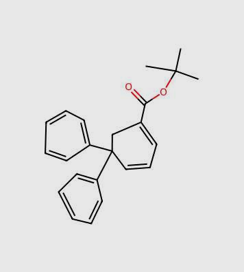 CC(C)(C)OC(=O)C1=CC=CC(c2ccccc2)(c2ccccc2)C1